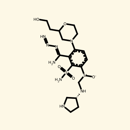 N=N/N=C(\N)c1c(N2CCOC(CCO)C2)ccc([S+]([O-])CN[C@@H]2CCNC2)c1S(N)(=O)=O